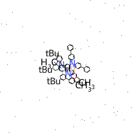 CC1(C)Cc2cc3c(cc2C1)N(c1ccc(C(C)(C)C)cc1-c1ccccc1)c1cc(N2c4ccc(C(C)(C)C)cc4C4(C)CC(C(C)(C)C)CCC24C)cc2c1B3c1cc(-c3ccccc3)ccc1N2c1ccc(-c2ccccc2)cc1